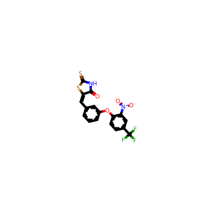 O=C1NC(=S)S/C1=C/c1cccc(Oc2ccc(C(F)(F)F)cc2[N+](=O)[O-])c1